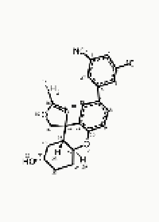 N#Cc1cc(Cl)cc(-c2ccc3c(c2)[C@]2(COC(N)=N2)[C@H]2C[C@@H](O)CC[C@@H]2O3)c1